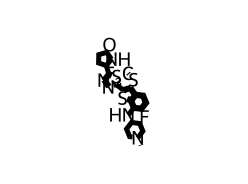 CN1CC[C@@H](Nc2cccc3c(SC(F)(F)F)c(-c4nnc(C5CCC(=O)N5)s4)sc23)[C@@H](F)C1